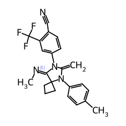 C=C1N(c2ccc(C#N)c(C(F)(F)F)c2)/C(=N/C)C2(CCC2)N1c1ccc(C)cc1